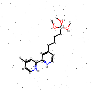 CO[Si](CCCCc1ccnc(-c2cc(C)ccn2)c1)(OC)OC